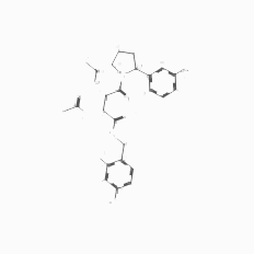 CC(=O)O[C@@H](C(=O)NCc1ccc(Br)cc1F)[C@@H](OC(C)=O)C(=O)N1CCCC1c1cccc(Cl)c1